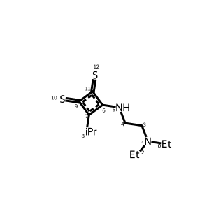 CCN(CC)CCNc1c(C(C)C)c(=S)c1=S